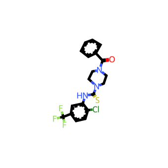 O=C(c1ccccc1)N1CCN(C(=S)Nc2cc(C(F)(F)F)ccc2Cl)CC1